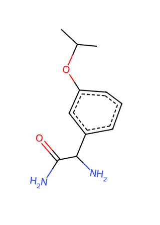 CC(C)Oc1cccc(C(N)C(N)=O)c1